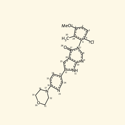 COc1ccc(Cl)c(-n2cnc3[nH]c(-c4ccc(N5CCOCC5)nc4)cc3c2=O)c1C